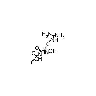 CCOC(=O)NC(=O)[C@H](CCCNC(N)N)NO